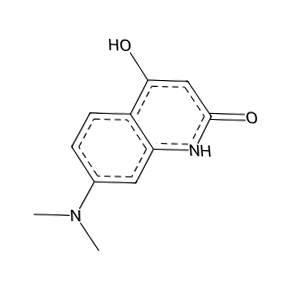 CN(C)c1ccc2c(O)cc(=O)[nH]c2c1